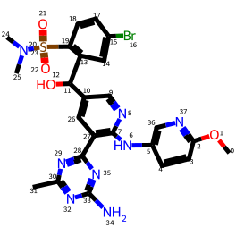 COc1ccc(Nc2ncc(C(O)c3cc(Br)ccc3S(=O)(=O)N(C)C)cc2-c2nc(C)nc(N)n2)cn1